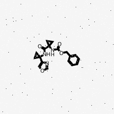 O=C(NC1(C(=O)NC2(c3cocn3)CC2)CC1)OCc1ccccc1